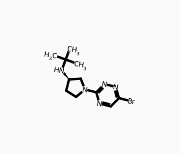 CC(C)(C)N[C@@H]1CCN(c2ncc(Br)nn2)C1